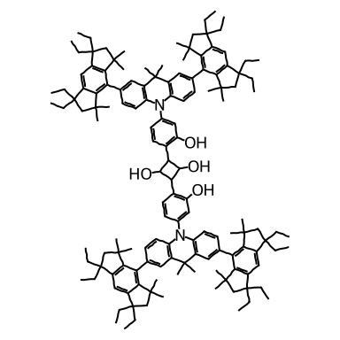 CCC1(CC)CC(C)(C)c2c1cc1c(c2-c2ccc3c(c2)C(C)(C)c2cc(-c4c5c(cc6c4C(C)(C)CC6(CC)CC)C(CC)(CC)CC5(C)C)ccc2N3c2ccc(C3C(O)C(c4ccc(N5c6ccc(-c7c8c(cc9c7C(C)(C)CC9(CC)CC)C(CC)(CC)CC8(C)C)cc6C(C)(C)c6cc(-c7c8c(cc9c7C(C)(C)CC9(CC)CC)C(CC)(CC)CC8(C)C)ccc65)cc4O)C3O)c(O)c2)C(C)(C)CC1(CC)CC